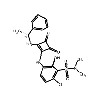 C[C@@H](Nc1c(Nc2ccc(Cl)c(S(=O)(=O)N(C)C)c2O)c(=O)c1=O)c1ccccc1